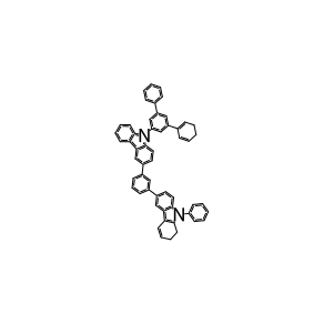 C1=CC(c2cc(-c3ccccc3)cc(-n3c4ccccc4c4cc(-c5cccc(-c6ccc7c(c6)c6c(n7-c7ccccc7)CCC=C6)c5)ccc43)c2)=CCC1